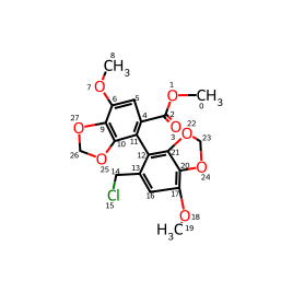 COC(=O)c1cc(OC)c2c(c1-c1c(CCl)cc(OC)c3c1OCO3)OCO2